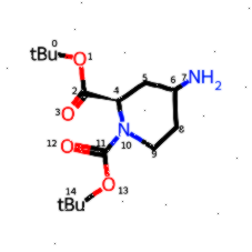 CC(C)(C)OC(=O)[C@H]1CC(N)CCN1C(=O)OC(C)(C)C